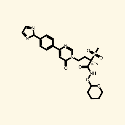 C[C@@](CCn1cnc(-c2ccc(C3N=CC=N3)cc2)cc1=O)(C(=O)NOC1CCCCO1)S(C)(=O)=O